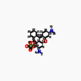 CN(C)c1ccc2c(c1)OC1=CC(N(C)C)C=CC1=C2c1ccccc1C(=O)O[Cl+3]([O-])([O-])[O-]